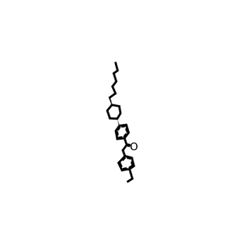 CCCCCCC[C@H]1CC[C@H](c2ccc(C(=O)Cc3ccc(CC)cc3)cc2)CC1